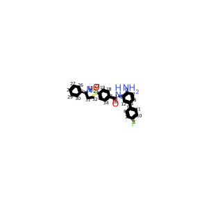 Nc1ccc(-c2ccc(F)cc2)cc1NC(=O)c1ccc([S@@]2(=O)=N[C@H](c3ccccc3)CC2)cc1